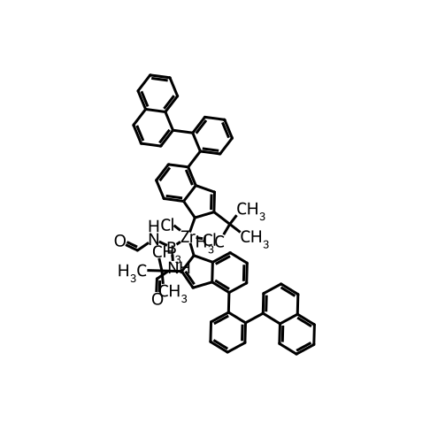 CC(C)(C)C1=Cc2c(-c3ccccc3-c3cccc4ccccc34)cccc2[CH]1[Zr]([Cl])([Cl])([B](NC=O)NC=O)[CH]1C(C(C)(C)C)=Cc2c(-c3ccccc3-c3cccc4ccccc34)cccc21